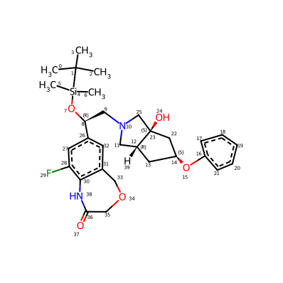 CC(C)(C)[Si](C)(C)O[C@@H](CN1C[C@H]2C[C@H](Oc3ccccc3)C[C@@]2(O)C1)c1cc(F)c2c(c1)COCC(=O)N2